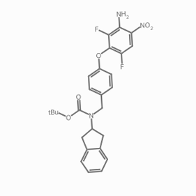 CC(C)(C)OC(=O)N(Cc1ccc(Oc2c(F)cc([N+](=O)[O-])c(N)c2F)cc1)C1Cc2ccccc2C1